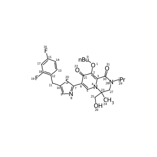 CCCCOc1c2n(cc(-c3ncc(Cc4ccc(F)cc4F)s3)c1=O)C(C)(CO)CN(C(C)C)C2=O